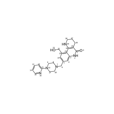 O=c1[nH]c2cc(CN3CCN(c4ccccn4)CC3)cc(CO)c2c2c1CCCN2